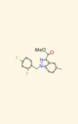 COC(=O)c1nn(Cc2ccc(F)cc2F)c2ccc(C)cc12